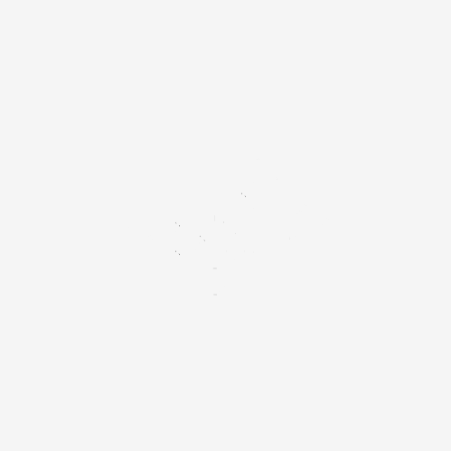 CC1(C)c2ccccc2-c2c1c1c(c3ccccc3n1-c1cccc(-c3nc(-c4ccccc4)nc(-c4ccccc4)n3)c1)c1c2oc2ccccc21